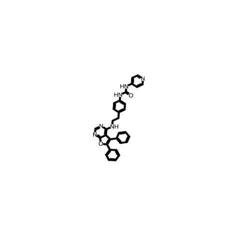 O=C(Nc1ccncc1)Nc1ccc(CCNc2ncnc3oc(-c4ccccc4)c(-c4ccccc4)c23)cc1